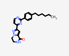 CCCCCCc1ccc(-c2nccc(-c3cc4n(n3)CCNC4=O)n2)cc1